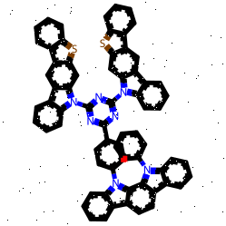 c1ccc(-n2c3ccccc3c3ccc4c5ccccc5n(-c5ccc(-c6nc(-n7c8ccccc8c8cc9c(cc87)sc7ccccc79)nc(-n7c8ccccc8c8cc9c(cc87)sc7ccccc79)n6)cc5)c4c32)cc1